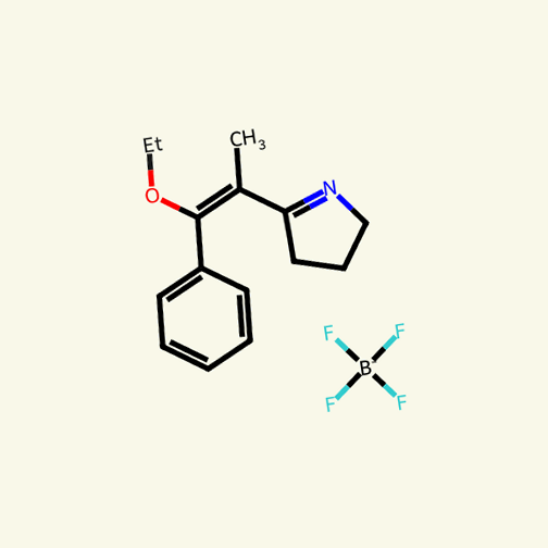 CCOC(=C(C)C1=NCCC1)c1ccccc1.F[B-](F)(F)F